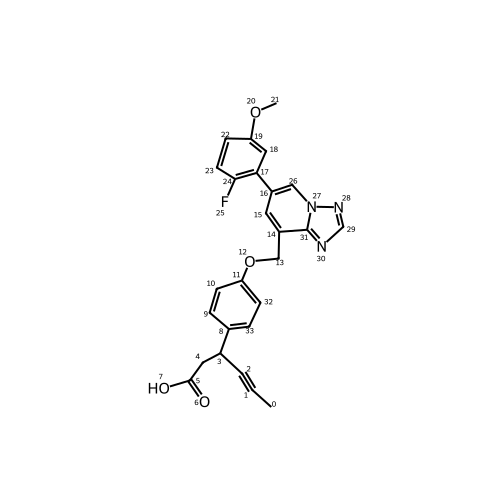 CC#CC(CC(=O)O)c1ccc(OCc2cc(-c3cc(OC)ccc3F)cn3ncnc23)cc1